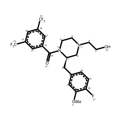 COc1cc(C[C@@H]2CN(CCO)CCN2C(=O)c2cc(C(F)(F)F)cc(C(F)(F)F)c2)ccc1F